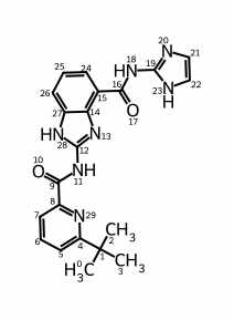 CC(C)(C)c1cccc(C(=O)Nc2nc3c(C(=O)Nc4ncc[nH]4)cccc3[nH]2)n1